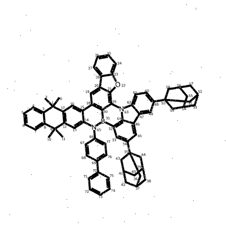 CC1(C)c2ccccc2C(C)(C)c2cc3c(cc21)-c1cc2c(oc4ccccc42)c2c1B(c1cc(C45CC6CC(CC(C6)C4)C5)cc4c5cc(C67CC8CC(CC(C8)C6)C7)ccc5n-2c14)N3c1ccc(-c2ccccc2)cc1